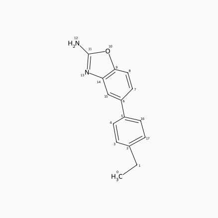 CCc1ccc(-c2ccc3oc(N)nc3c2)cc1